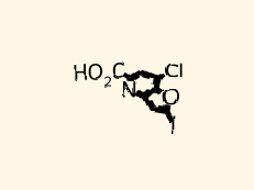 O=C(O)c1cc(Cl)c2oc(I)cc2n1